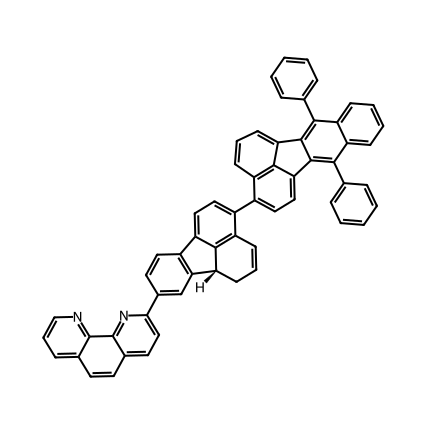 C1=Cc2c(-c3ccc4c5c(cccc35)-c3c-4c(-c4ccccc4)c4ccccc4c3-c3ccccc3)ccc3c2[C@H](C1)c1cc(-c2ccc4ccc5cccnc5c4n2)ccc1-3